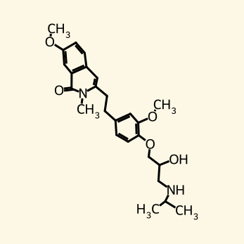 COc1ccc2cc(CCc3ccc(OCC(O)CNC(C)C)c(OC)c3)n(C)c(=O)c2c1